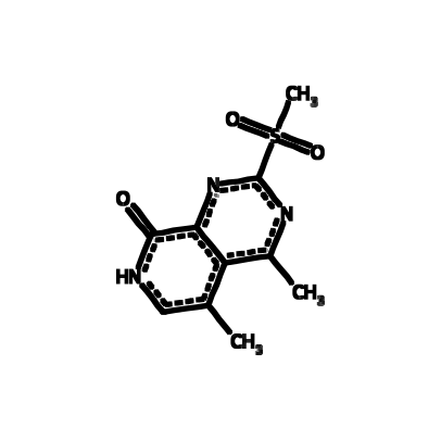 Cc1c[nH]c(=O)c2nc(S(C)(=O)=O)nc(C)c12